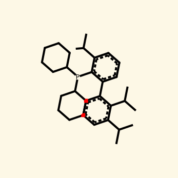 CC(C)c1cccc(-c2cccc(C(C)C)c2P(C2CCCCC2)C2CCCCC2)c1C(C)C